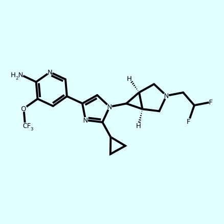 Nc1ncc(-c2cn(C3[C@H]4CN(CC(F)F)C[C@@H]34)c(C3CC3)n2)cc1OC(F)(F)F